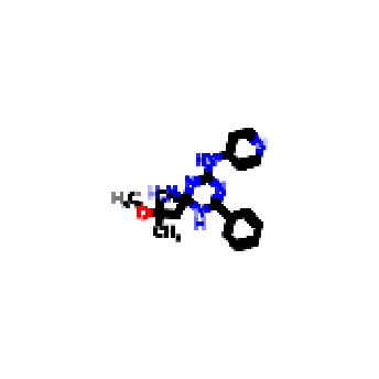 COC(C)(C)CC1(N)N=C(Nc2ccncc2)N=C(c2ccccc2)N1